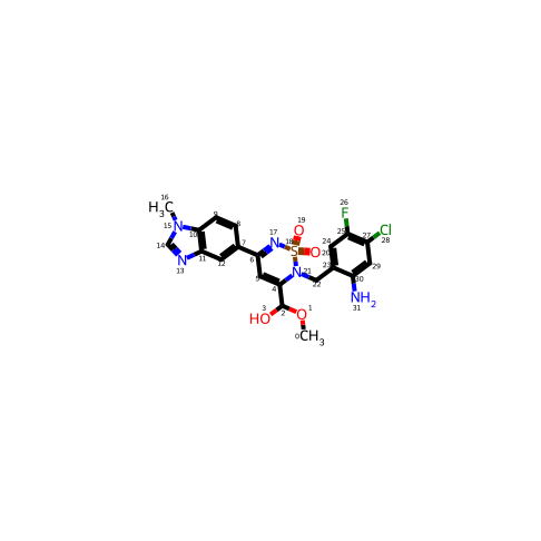 COC(O)C1=CC(c2ccc3c(c2)ncn3C)=NS(=O)(=O)N1Cc1cc(F)c(Cl)cc1N